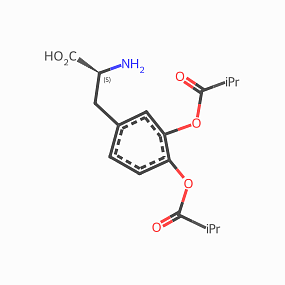 CC(C)C(=O)Oc1ccc(C[C@H](N)C(=O)O)cc1OC(=O)C(C)C